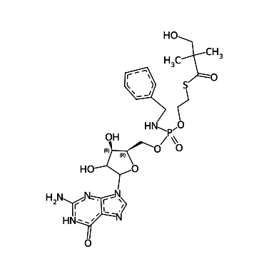 CC(C)(CO)C(=O)SCCOP(=O)(NCc1ccccc1)OC[C@H]1OC(n2cnc3c(=O)[nH]c(N)nc32)C(O)[C@H]1O